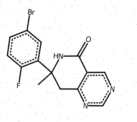 CC1(c2cc(Br)ccc2F)Cc2ncncc2C(=O)N1